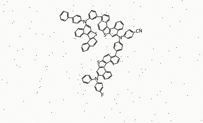 N#Cc1ccc(N(c2ccc(-c3cccc4c3ccc3sc5cc(N(c6ccccc6)c6ccc(F)cc6)c6ccccc6c5c34)cc2)c2cc3sc4ccc5c(-c6cccc(N(c7ccc(-c8ccccc8)cc7)c7cc8sc9ccc%10ccccc%10c9c8c8ccccc78)c6)cccc5c4c3c3ccccc23)cc1